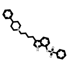 O=S(=O)(Oc1cccc2c(CCCCN3CCC(c4ccccc4)CC3)c[nH]c12)c1ccccc1